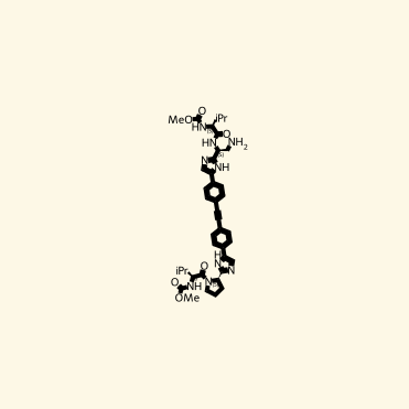 COC(=O)N[C@H](C(=O)N[C@@H](CN)c1ncc(-c2ccc(C#Cc3ccc(-c4cnc([C@@H]5CCCN5C(=O)[C@@H](NC(=O)OC)C(C)C)[nH]4)cc3)cc2)[nH]1)C(C)C